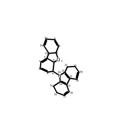 C1=CC2OC3C(=CC=CC3n3c4c(c5c3CCC=C5)C=CCC4)C2C=C1